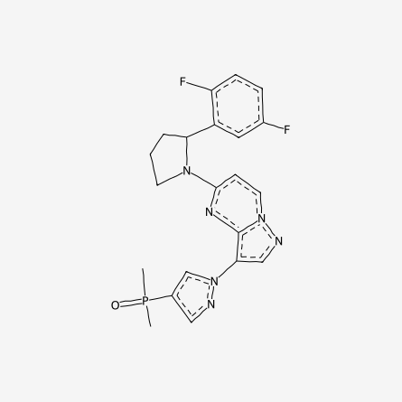 CP(C)(=O)c1cnn(-c2cnn3ccc(N4CCCC4c4cc(F)ccc4F)nc23)c1